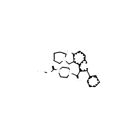 CC(C)(C)OC(=O)N1CCN(C(=O)c2c(-c3ccccc3)oc3ccc(O)c(CN4CCCCC4)c23)CC1